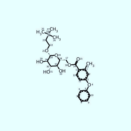 Cc1cc(Oc2ccccc2)ccc1C(=O)OC[C@H]1O[C@@H](OCC[Si](C)(C)C)[C@H](O)[C@@H](O)[C@@H]1O